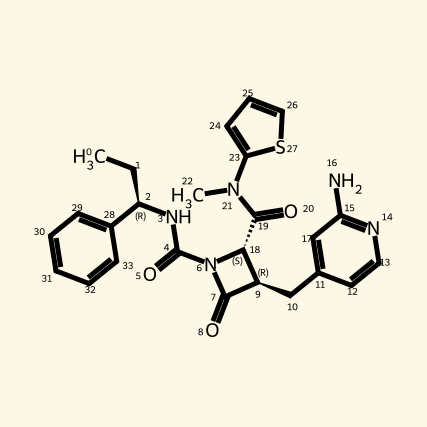 CC[C@@H](NC(=O)N1C(=O)[C@H](Cc2ccnc(N)c2)[C@H]1C(=O)N(C)c1cccs1)c1ccccc1